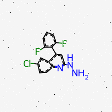 NNc1cc(-c2c(F)cccc2F)c2cc(Cl)ccc2n1